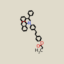 C=CC(=O)Oc1ccc(C=Cc2ccc(N(C=C(c3ccccc3)c3ccccc3)c3cccc4ccccc34)cc2)cc1